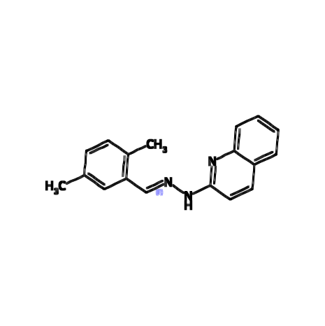 Cc1ccc(C)c(/C=N/Nc2ccc3ccccc3n2)c1